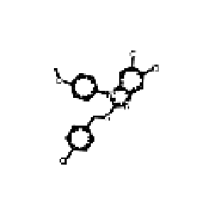 COc1ccc(-n2c(SCc3ccc(Cl)cc3)nc3cc(Cl)c(Cl)cc32)cc1